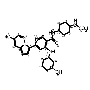 N#Cc1cnn2c(-c3cc(N[C@H]4CCC[C@@H](O)C4)c(C(=O)NC4CCC(NC(=O)O)CC4)cn3)ccc2c1